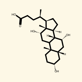 C[C@H](CCC(=O)O)[C@H]1CC[C@H]2[C@H]3C(C[C@H](O)[C@]12C)[C@@]1(C)CC[C@@H](O)C[C@H]1C[C@H]3O